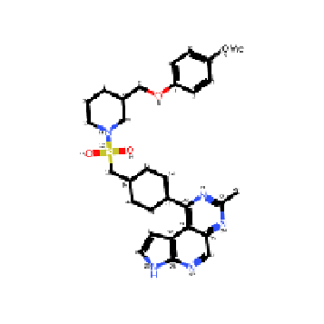 COc1ccc(OCC2CCCN(S(=O)(=O)CC3CCC(c4nc(C)nc5cnc6[nH]ccc6c45)CC3)C2)cc1